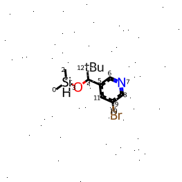 C[SiH](C)OC(c1cncc(Br)c1)C(C)(C)C